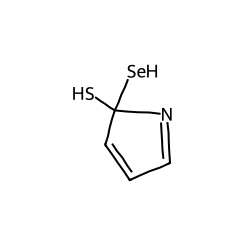 SC1([SeH])C=CC=N1